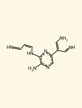 N=C/C=C\Nc1nc(/C(C=N)=C/N)cnc1N